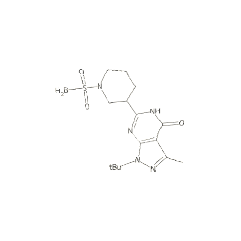 BS(=O)(=O)N1CCCC(c2nc3c(c(C)nn3C(C)(C)C)c(=O)[nH]2)C1